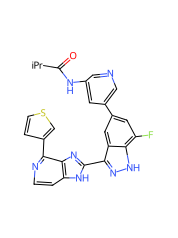 CC(C)C(=O)Nc1cncc(-c2cc(F)c3[nH]nc(-c4nc5c(-c6ccsc6)nccc5[nH]4)c3c2)c1